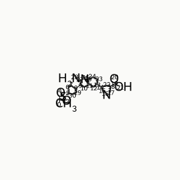 CCS(=O)(=O)c1ccc(-c2cc3cc(-c4cncc(C(=O)O)c4)ccc3nc2N)cc1